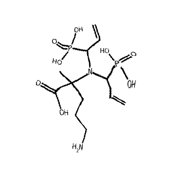 C=CC(N(C(C=C)P(=O)(O)O)C(C)(CCCN)C(=O)O)P(=O)(O)O